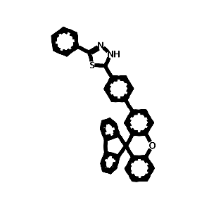 c1ccc(C2=NNC(c3ccc(-c4ccc5c(c4)C4(c6ccccc6O5)c5ccccc5-c5ccccc54)cc3)S2)cc1